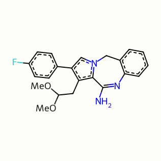 COC(Cc1c(-c2ccc(F)cc2)cn2c1C(N)=Nc1ccccc1C2)OC